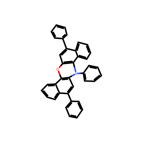 c1ccc(-c2cc3c(c4ccccc24)Oc2cc(-c4ccccc4)c4ccccc4c2N3c2ccccc2)cc1